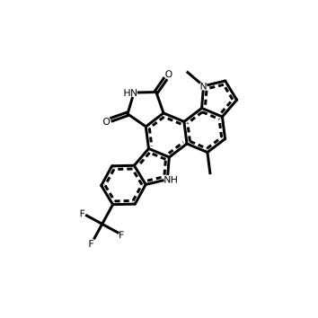 Cc1cc2ccn(C)c2c2c3c(c4c5ccc(C(F)(F)F)cc5[nH]c4c12)C(=O)NC3=O